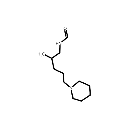 CC(CCCN1CCCCC1)CNC=O